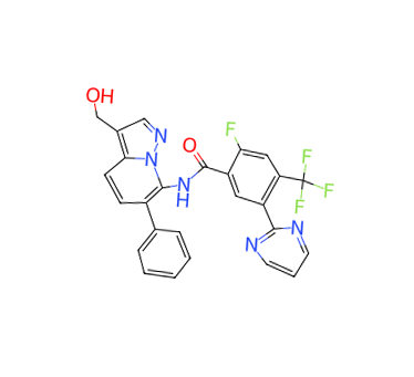 O=C(Nc1c(-c2ccccc2)ccc2c(CO)cnn12)c1cc(-c2ncccn2)c(C(F)(F)F)cc1F